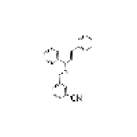 N#Cc1cccc(CSC(C=Cc2ccccc2)c2ccccc2)c1